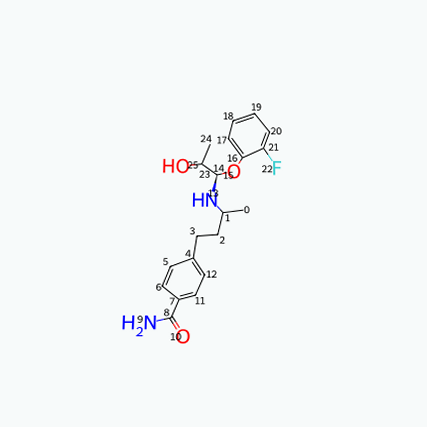 CC(CCc1ccc(C(N)=O)cc1)N[C@H](Oc1ccccc1F)C(C)O